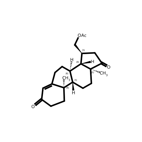 CC(=O)OC[C@H]1CC(=O)[C@@]2(C)CC[C@H]3[C@@H](CCC4=CC(=O)CC[C@@]43C)[C@H]12